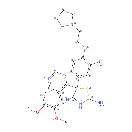 COc1cc2ncnc(C3(c4ccc(OCCN5CCCC5)c(Cl)c4)SC(N)NC3N)c2cc1OC